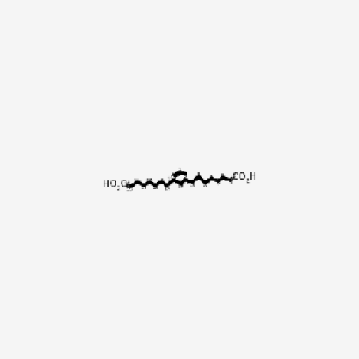 C=CC.O=C(O)CCCCCCCCCCCCCCCCCC(=O)O